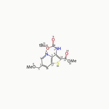 COCc1cnc2c(NC(=O)OC(C)(C)C)c(C(=O)OC)sc2c1